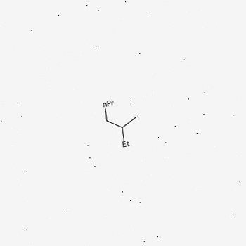 [CH]C(CC)CCCC